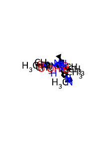 Cc1nccn1-c1ccc(CN(C(=O)OC(C)(C)C)c2cc(NC[C@H]3CCN(C(=O)OC(C)(C)C)C[C@@H]3O)nc3c(C4CC4)cnn23)cc1